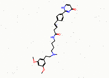 COc1cc(CCN(C)CCCCNC(=O)C/C=C/c2ccc(-c3nc(=O)cc[nH]3)cc2)cc(OC)c1